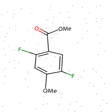 COC(=O)c1cc(F)c(OC)cc1F